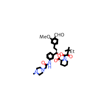 CCC(C)(C)C(=O)C(=O)N1CCCC[C@H]1C(=O)O[C@H](CCc1ccc(C=O)c(OC)c1)c1cccc(NC(=O)CN2CCN(C)CC2)c1